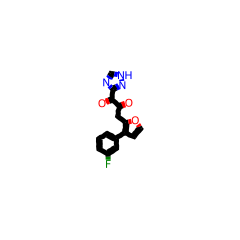 O=C(Cc1occc1-c1cccc(F)c1)C(=O)c1nc[nH]n1